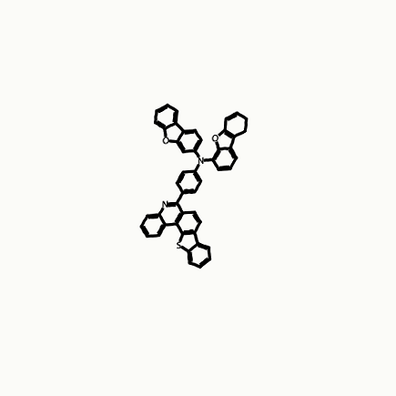 C1=Cc2oc3c(N(c4ccc(-c5nc6ccccc6c6c5ccc5c7ccccc7sc56)cc4)c4ccc5c(c4)oc4ccccc45)cccc3c2CC1